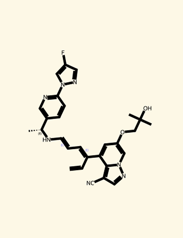 C=C/C(=C\C=C\N[C@H](C)c1ccc(-n2cc(F)cn2)nc1)c1cc(OCC(C)(C)O)cn2ncc(C#N)c12